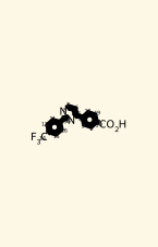 O=C(O)c1ccc(-c2ccnc(-c3ccc(C(F)(F)F)cc3)n2)cc1